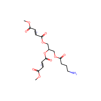 COC(=O)/C=C/C(=O)OCC(COC(=O)CCCN)OC(=O)/C=C/C(=O)OC